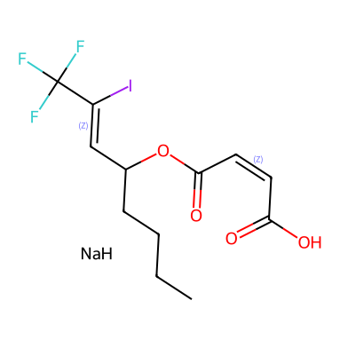 CCCCC(/C=C(\I)C(F)(F)F)OC(=O)/C=C\C(=O)O.[NaH]